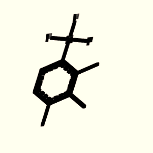 Cc1ccc([Si](F)(F)F)c(C)c1C